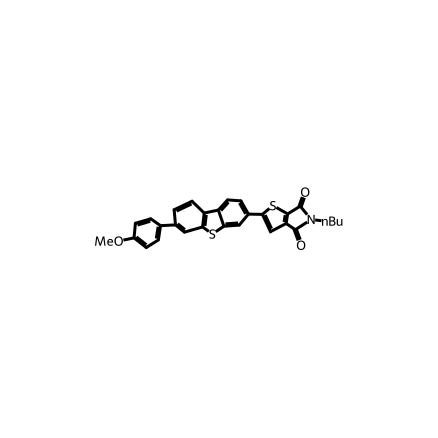 CCCCN1C(=O)c2cc(-c3ccc4c(c3)sc3cc(-c5ccc(OC)cc5)ccc34)sc2C1=O